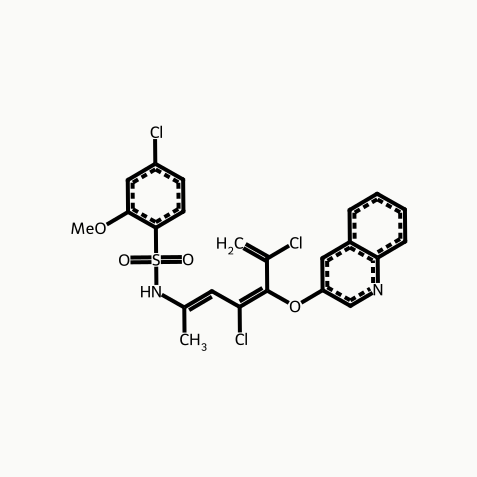 C=C(Cl)/C(Oc1cnc2ccccc2c1)=C(Cl)\C=C(/C)NS(=O)(=O)c1ccc(Cl)cc1OC